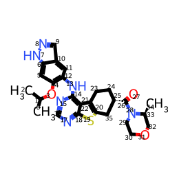 CC(C)Oc1cc2[nH]ncc2cc1Nc1ncnc2sc3c(c12)CC[C@H](C(=O)N1CCOC[C@@H]1C)C3